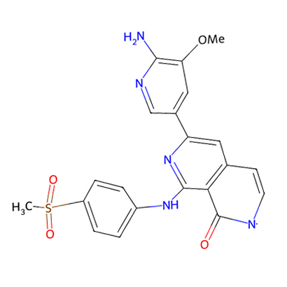 COc1cc(-c2cc3c(c(Nc4ccc(S(C)(=O)=O)cc4)n2)C(=O)[N]C=C3)cnc1N